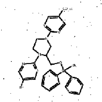 CCOC(=O)c1cnc(N2CCN(c3ncc(Br)cn3)C(CO[Si](c3ccccc3)(c3ccccc3)C(C)(C)C)C2)nc1